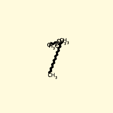 CCCCCCCCCCCCCCCC(CC)[N+](C)(C)CCC=O